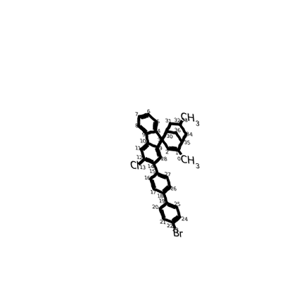 CC1=CC2(c3ccccc3-c3cc(Cl)c(-c4ccc(-c5ccc(Br)cc5)cc4)cc32)C2CC(C)CC1C2